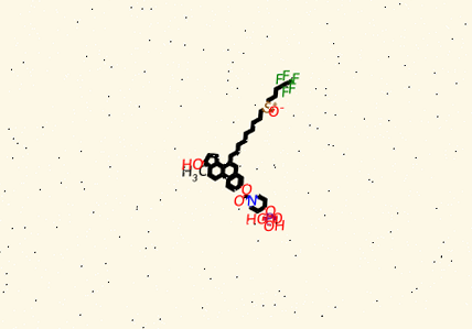 CC12CCC3c4ccc(OC(=O)N5CCC(OP(=O)(O)O)CC5)cc4CC(CCCCCCCCC[S+]([O-])CCCC(F)(F)C(F)(F)F)C3C1CCC2O